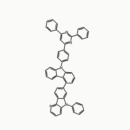 c1ccc(-c2cc(-c3ccc(-n4c5ccccc5c5c(-c6ccc7c8ncccc8n(-c8ccccc8)c7c6)cccc54)cc3)nc(-c3ccccc3)n2)cc1